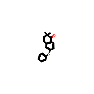 CC1(C)C=Cc2cc(Sc3ccccc3)ccc2C1=O